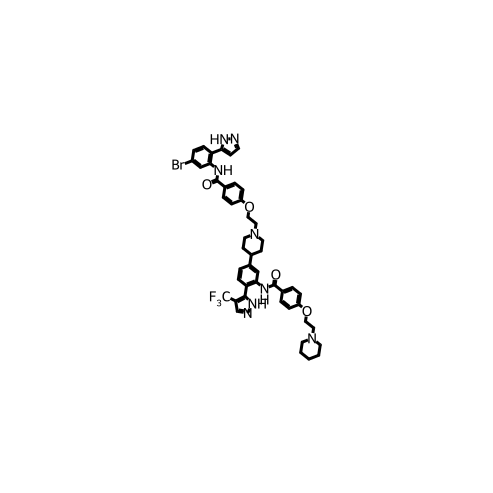 O=C(Nc1cc(Br)ccc1-c1ccn[nH]1)c1ccc(OCCN2CCC(c3ccc(-c4[nH]ncc4C(F)(F)F)c(NC(=O)c4ccc(OCCN5CCCCC5)cc4)c3)CC2)cc1